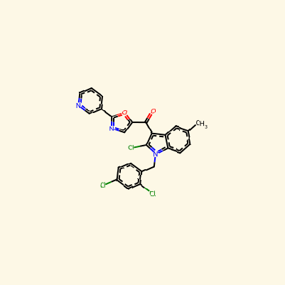 Cc1ccc2c(c1)c(C(=O)c1cnc(-c3cccnc3)o1)c(Cl)n2Cc1ccc(Cl)cc1Cl